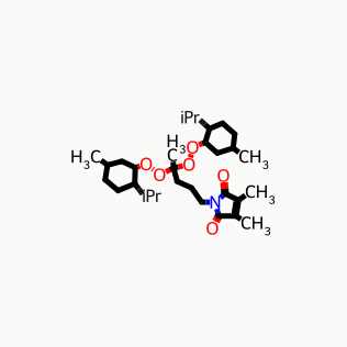 CC1=C(C)C(=O)N(CCCC(C)(OOC2CC(C)CCC2C(C)C)OOC2CC(C)CCC2C(C)C)C1=O